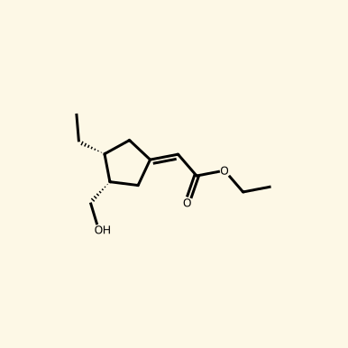 CCOC(=O)/C=C1/C[C@@H](CC)[C@@H](CO)C1